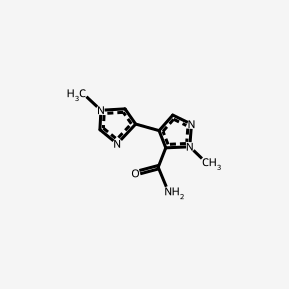 Cn1cnc(-c2cnn(C)c2C(N)=O)c1